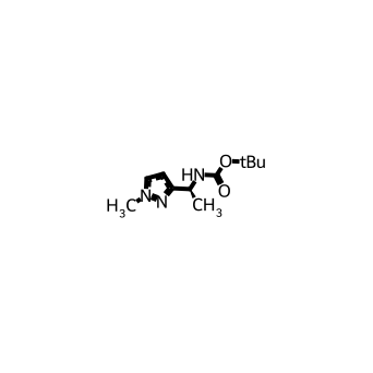 C[C@H](NC(=O)OC(C)(C)C)c1ccn(C)n1